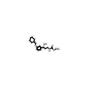 CC(C)(C)OC(=O)NCC[C@@H](O)c1cccc(OCC2CCCCC2)c1